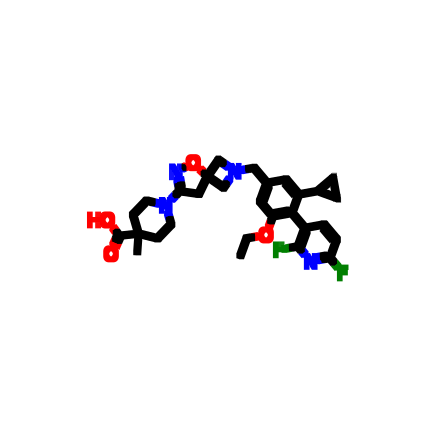 CCOc1cc(CN2CC3(CC(N4CCC(C)(C(=O)O)CC4)=NO3)C2)cc(C2CC2)c1-c1ccc(F)nc1F